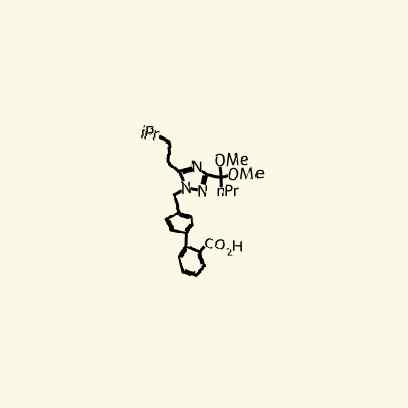 CCCC(OC)(OC)c1nc(CCC(C)C)n(Cc2ccc(-c3ccccc3C(=O)O)cc2)n1